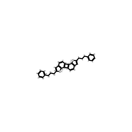 c1ccc(CCCc2cc3ccc4c(c3s2)-c2ccc3cc(CCCc5ccccc5)sc3c2-4)cc1